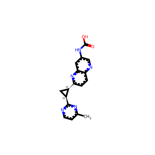 Cc1ccnc([C@H]2C[C@@H]2c2ccc3ncc(NC(=O)O)cc3n2)n1